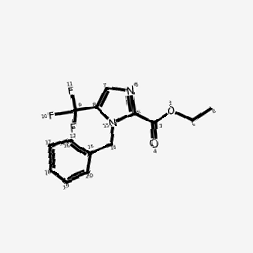 CCOC(=O)c1ncc(C(F)(F)F)n1Cc1ccccc1